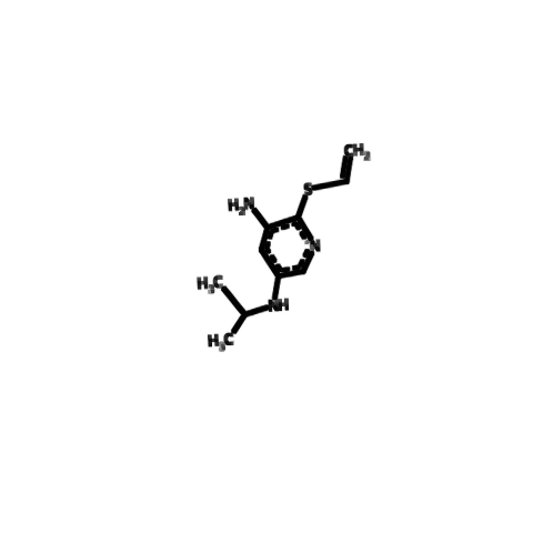 C=CSc1ncc(NC(C)C)cc1N